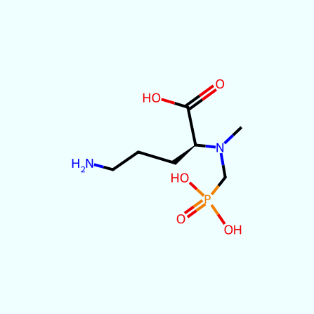 CN(CP(=O)(O)O)[C@@H](CCCN)C(=O)O